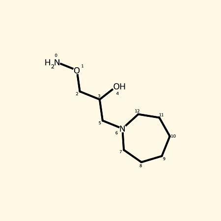 NOCC(O)CN1CCCCCC1